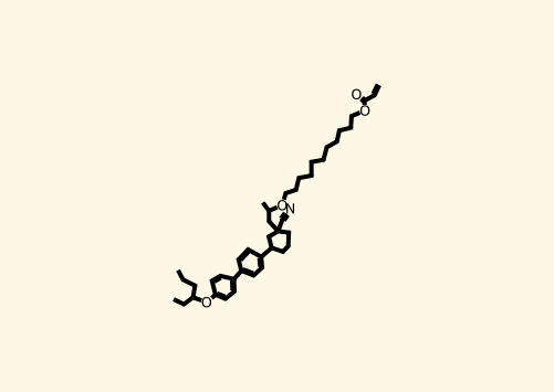 C=CC(=O)OCCCCCCCCCCCOC(C)CC1(C#N)CCCC(c2ccc(-c3ccc(OC(CC)CCC)cc3)cc2)C1